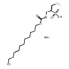 CCCCCCCCCCCCOC(=O)OCC(CC)S(=O)(=O)O.[NaH]